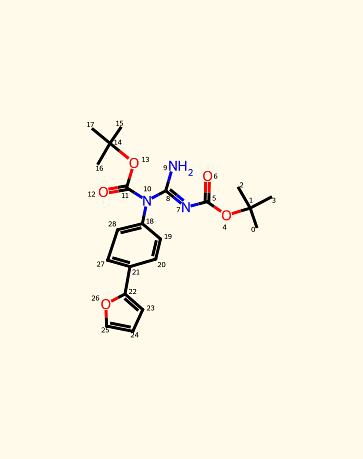 CC(C)(C)OC(=O)N=C(N)N(C(=O)OC(C)(C)C)c1ccc(-c2ccco2)cc1